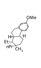 CCCC1(C)CC[C@@H]2c3ccc(OC)cc3CC[C@H]2C1CC